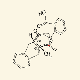 C[C@]12C(=O)N(c3ccccc3C(=O)O)C(=O)[C@H]1C1c3ccccc3C2c2ccccc21